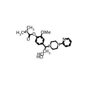 COc1cc(C(C)N2CCN(c3ccccn3)CC2)ccc1OC(=O)N(C)C.Cl.Cl